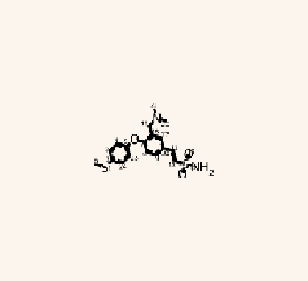 CSc1ccc(Oc2ccc(C=CS(N)(=O)=O)cc2CN(C)C)cc1